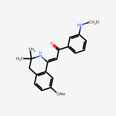 CCOC(=O)Nc1cccc(C(=O)C=C2NC(C)(C)Cc3ccc(OC)cc32)c1